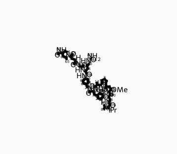 CCC(C)C(C(CC(=O)N1CCCC1C(OC)C(C)C(=O)NC(Cc1ccccc1)C(=O)NCc1ccc(NC(=O)C(CCCNC(N)=O)NC(=O)CNC(=O)CCC(=O)N2CCC(C(N)=O)CC2C)cc1)OC)N(C)C(=O)CNC(=O)C(C(C)C)N(C)C